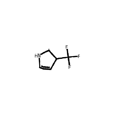 FC(F)(F)C1[CH]NC=C1